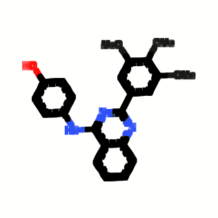 COc1cc(-c2nc(Nc3ccc(O)cc3)c3ccccc3n2)cc(OC)c1OC